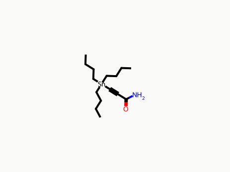 CCC[CH2][Sn]([C]#CC(N)=O)([CH2]CCC)[CH2]CCC